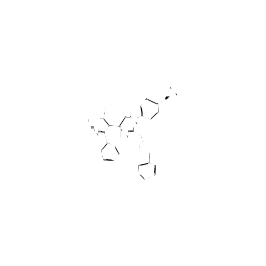 Cc1onc(-c2ccccc2)c1-c1cn(-c2ccc(C#N)cc2)c(COCc2ccccc2)n1